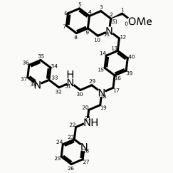 COC[C@@H]1Cc2ccccc2CN1Cc1ccc(CN(CCNCc2ccccn2)CCNCc2ccccn2)cc1